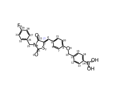 O=C1S/C(=C\c2ccc(OCc3ccc(B(O)O)cc3)cc2)C(=O)N1Cc1ccc(F)cc1